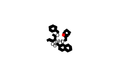 C/C=C(\O)C(NC(=O)c1ccc2ccccc2c1OCC1CC2CCC1C2)C(C)OCc1ccccc1